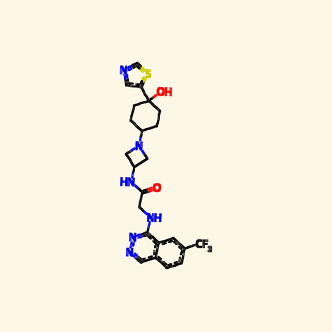 O=C(CNc1nncc2ccc(C(F)(F)F)cc12)NC1CN(C2CCC(O)(c3cncs3)CC2)C1